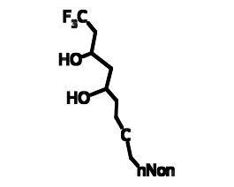 CCCCCCCCCCCCCC(O)CC(O)CC(F)(F)F